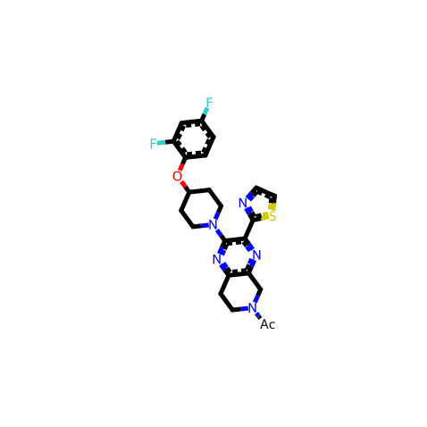 CC(=O)N1CCc2nc(N3CCC(Oc4ccc(F)cc4F)CC3)c(-c3nccs3)nc2C1